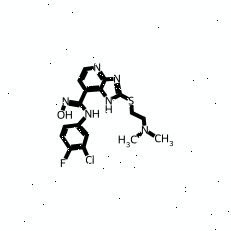 CN(C)CCSc1nc2nccc(/C(=N/O)Nc3ccc(F)c(Cl)c3)c2[nH]1